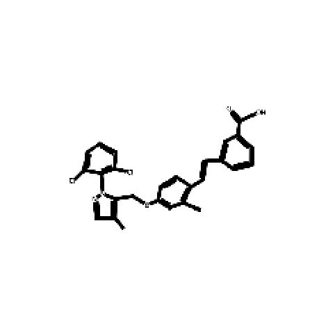 Cc1cc(OCc2c(C)cnn2-c2c(Cl)cccc2Cl)ccc1C=Cc1cccc(C(=O)O)c1